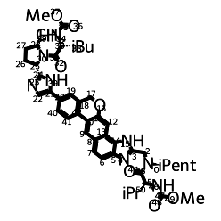 CCC[C@H](C)N(Cc1nc2ccc3cc4c(cc3c2[nH]1)OCc1cc(-c2cnc([C@@H]3CC[C@H](C)N3C(=O)[C@@H](NC(=O)OC)[C@@H](C)CC)[nH]2)ccc1-4)C(=O)[C@@H](NC(=O)OC)C(C)C